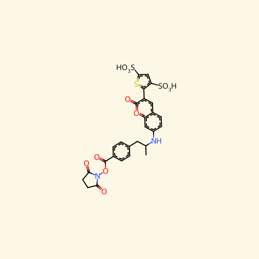 CC(Cc1ccc(C(=O)ON2C(=O)CCC2=O)cc1)Nc1ccc2cc(-c3sc(S(=O)(=O)O)cc3S(=O)(=O)O)c(=O)oc2c1